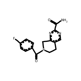 NC(=O)c1n[c]c2c(n1)CN(C(=O)c1ccc(F)cc1)CC2